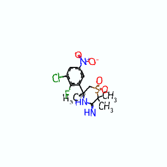 CC1(C)C(=N)N[C@](C)(c2cc([N+](=O)[O-])cc(Cl)c2F)CS1(=O)=O